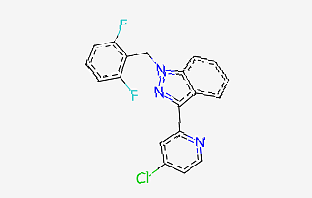 Fc1cccc(F)c1Cn1nc(-c2cc(Cl)ccn2)c2ccccc21